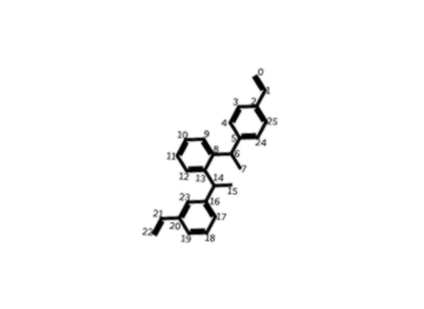 C=Cc1ccc(C(C)c2ccccc2C(C)c2cccc(C=C)c2)cc1